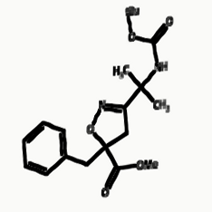 COC(=O)C1(Cc2ccccc2)CC(C(C)(C)NC(=O)OC(C)(C)C)=NO1